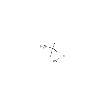 CC(C)(C)N.N#CS